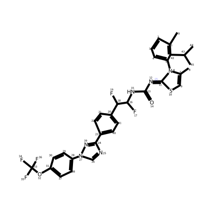 Cc1cccc(-n2c(C)cs/c2=N\C(=O)NC(F)C(F)c2ccc(-c3ncn(-c4ccc(OC(F)(F)F)cc4)n3)cc2)c1C(C)C